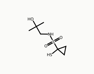 CC(C)(O)CNS(=O)(=O)C1(S)CC1